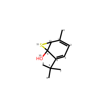 CC1=CC=C(C(C)(C)C)C2(O)SC12